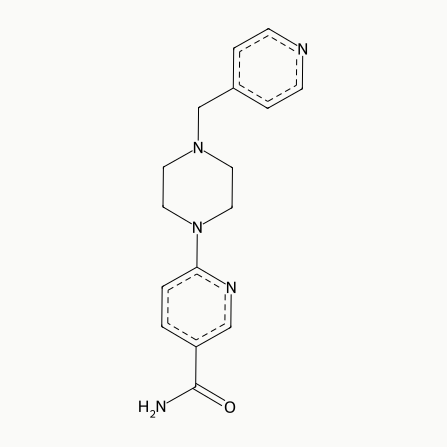 NC(=O)c1ccc(N2CCN(Cc3ccncc3)CC2)nc1